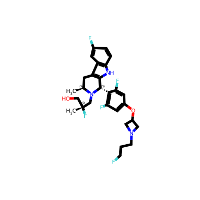 C[C@H]1Cc2c([nH]c3ccc(F)cc23)[C@H](c2c(F)cc(OC3CN(CCCF)C3)cc2F)N1C[C@](C)(F)CO